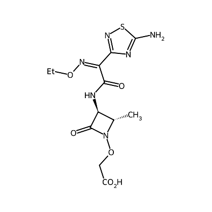 CCO/N=C(\C(=O)N[C@@H]1C(=O)N(OCC(=O)O)[C@H]1C)c1nsc(N)n1